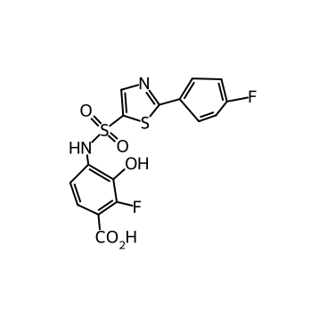 O=C(O)c1ccc(NS(=O)(=O)c2cnc(-c3ccc(F)cc3)s2)c(O)c1F